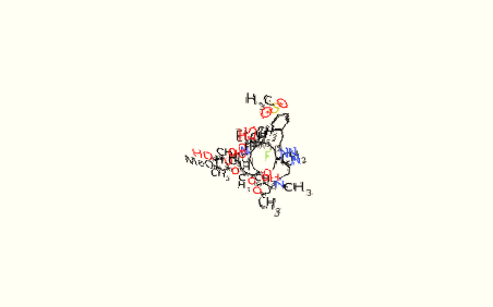 C=C1CC[C@@H]2[C@@H](C)/C(=N/O)[C@H](C)C[C@@](C)(OC1)[C@H](O[C@@H]1O[C@H](C)C[C@H](N(C)CCc3cn([C@H](CF)Cc4ccc(S(C)(=O)=O)cc4)nn3)[C@H]1O)[C@@H](C)[C@H](O[C@H]1C[C@@](C)(OC)[C@@H](O)[C@H](C)O1)[C@@H](C)C(=O)O[C@H](CC)[C@@]2(C)O